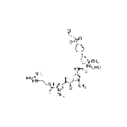 Cn1cc(NC(=O)c2cc(NC(=O)C3=CC(c4ccc(S(=O)(=O)CCCl)cc4)=C[N+]3(C)NC=O)cn2C)cc1C(=O)NCCNC(=N)N